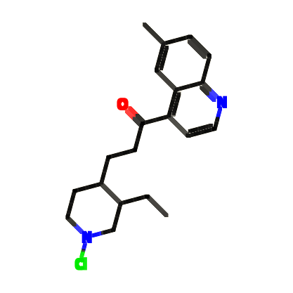 CCC1CN(Cl)CCC1CCC(=O)c1ccnc2ccc(C)cc12